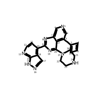 C1=CC(c2cncc3nc(-c4ccnc5[nH]ncc45)nc(N4CCNCC4)c23)=C1